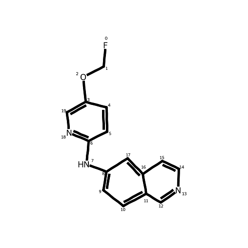 FCOc1ccc(Nc2ccc3cnccc3c2)nc1